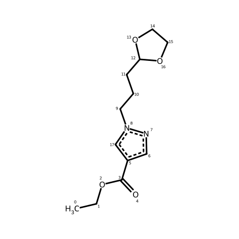 CCOC(=O)c1cnn(CCCC2OCCO2)c1